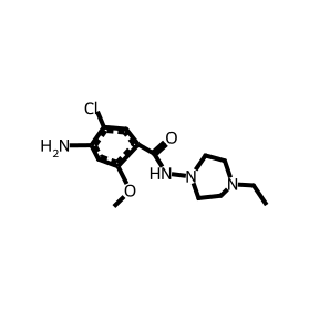 CCN1CCN(NC(=O)c2cc(Cl)c(N)cc2OC)CC1